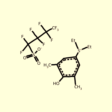 CC[S+](CC)c1cc(C)c(O)c(C)c1.O=S(=O)([O-])C(F)(F)C(F)(F)C(F)(F)C(F)(F)F